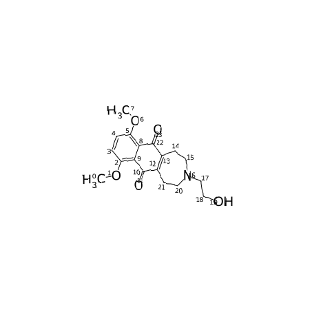 COc1ccc(OC)c2c1C(=O)C1=C(CCN(CCO)CC1)C2=O